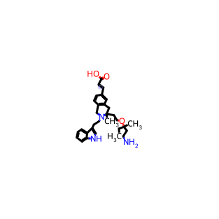 CCC(C)(CCN)OCCC1(C)Cc2cc(/C=C/C(=O)O)ccc2CN1CCc1c[nH]c2ccccc12